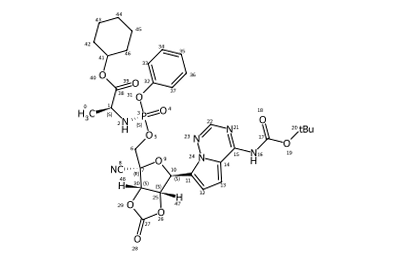 C[C@H](N[P@](=O)(OC[C@@]1(C#N)O[C@@H](c2ccc3c(NC(=O)OC(C)(C)C)ncnn23)[C@@H]2OC(=O)O[C@@H]21)Oc1ccccc1)C(=O)OC1CCCCC1